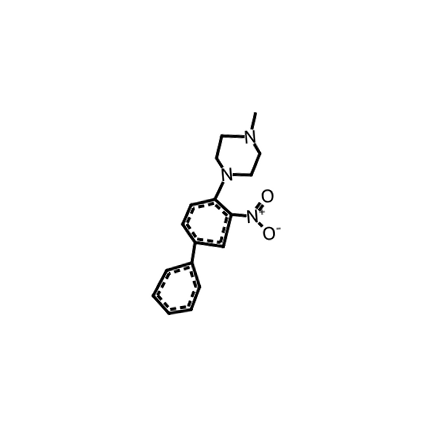 CN1CCN(c2ccc(-c3ccccc3)cc2[N+](=O)[O-])CC1